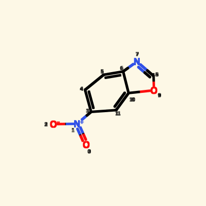 O=[N+]([O-])c1ccc2n[c]oc2c1